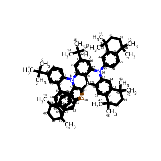 CC(C)(C)c1ccc(N2c3cc(C(C)(C)C)cc4c3B(c3cc5c(cc3N4c3ccc4c(c3)C(C)(C)CCC4(C)C)C(C)(C)CCC5(C)C)c3sc4cc5c(cc4c32)C2(C)CCC5(C)CC2)c(-c2ccccc2)c1